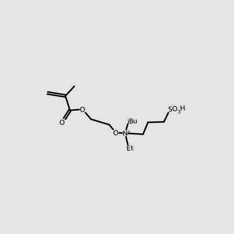 C=C(C)C(=O)OCCO[N+](CC)(CCCS(=O)(=O)O)C(C)CC